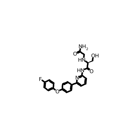 NC(=O)CN[C@@H](CO)C(=O)Nc1cccc(-c2ccc(Oc3ccc(F)cc3)cc2)n1